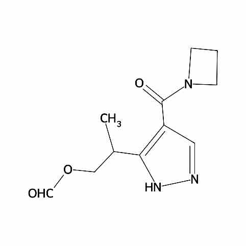 CC(COC=O)c1[nH]ncc1C(=O)N1CCC1